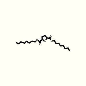 CCCCCCCCOC(=O)C1CCC(C(=O)OCCCCCCCC)O1